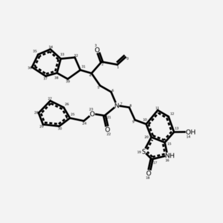 C=CC(=O)C(CCN(CCc1ccc(O)c2[nH]c(=O)sc12)C(=O)OCc1ccccc1)C1Cc2ccccc2C1